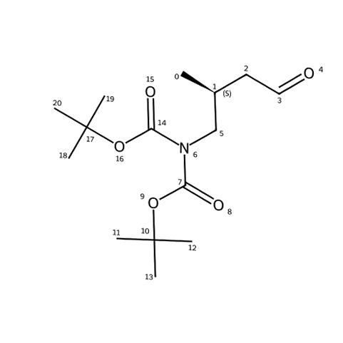 C[C@@H](CC=O)CN(C(=O)OC(C)(C)C)C(=O)OC(C)(C)C